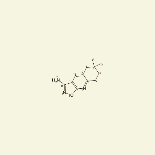 CC1(C)CCc2nc3onc(N)c3cc2C1